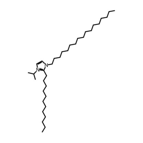 CCCCCCCCCCCCCCCCCn1cc[n+](C(C)C)c1CCCCCCCCCCCC